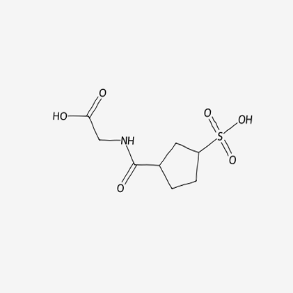 O=C(O)CNC(=O)C1CCC(S(=O)(=O)O)C1